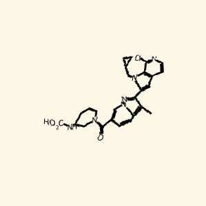 Cc1c(-c2cc3ccnc(Cl)c3n2CC2CC2)nn2cc(C(=O)N3CCCC(NC(=O)O)C3)ccc12